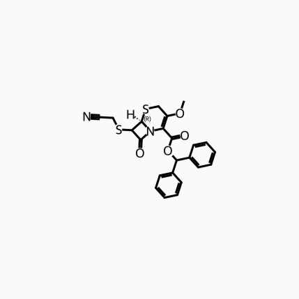 COC1=C(C(=O)OC(c2ccccc2)c2ccccc2)N2C(=O)C(SCC#N)[C@H]2SC1